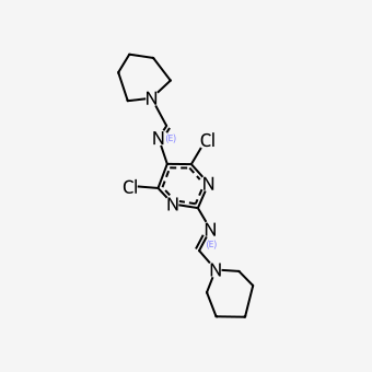 Clc1nc(/N=C/N2CCCCC2)nc(Cl)c1/N=C/N1CCCCC1